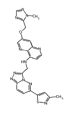 Cc1cc(-c2ccc3nnc(CNc4ccnc5cc(OCc6ncnn6C)cnc45)n3n2)sn1